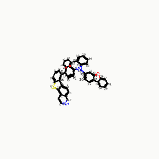 C1=Cc2c(ccc3c2sc2cccc(-c4ccc(N(c5ccc6c(c5)oc5ccccc56)c5ccccc5-c5ccccc5)cc4)c23)CN1